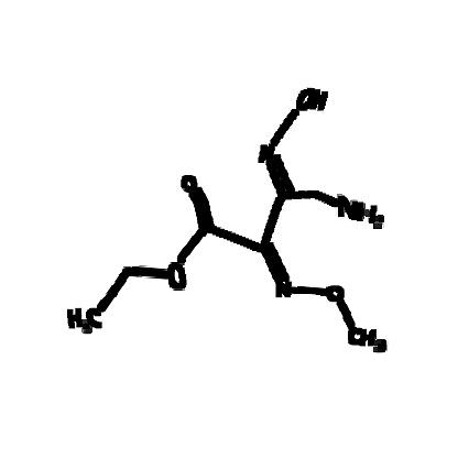 CCOC(=O)C(=NOC)C(N)=NO